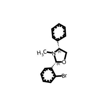 CN1[C@@H](c2ccccc2Br)OC[C@H]1c1ccccc1